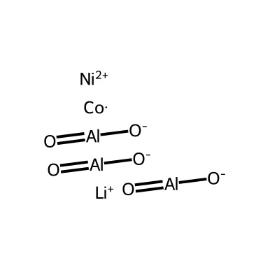 [Co].[Li+].[Ni+2].[O]=[Al][O-].[O]=[Al][O-].[O]=[Al][O-]